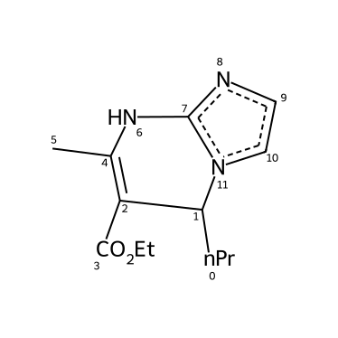 CCCC1C(C(=O)OCC)=C(C)Nc2nccn21